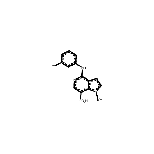 CCCn1ccc2c(Nc3cccc(Cl)c3)ncc(C(=O)O)c21